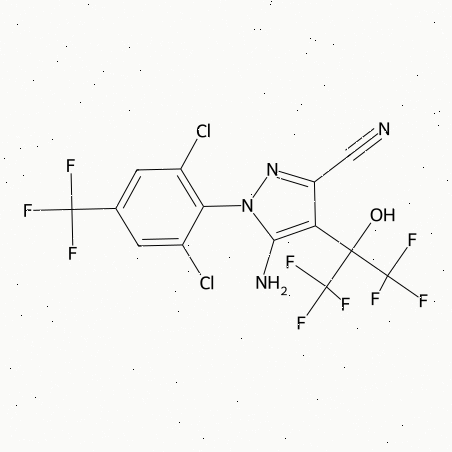 N#Cc1nn(-c2c(Cl)cc(C(F)(F)F)cc2Cl)c(N)c1C(O)(C(F)(F)F)C(F)(F)F